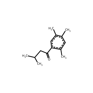 Cc1cc(C)c(C(=O)CC(C)C)cc1C